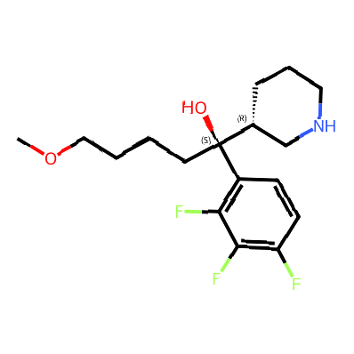 COCCCC[C@@](O)(c1ccc(F)c(F)c1F)[C@@H]1CCCNC1